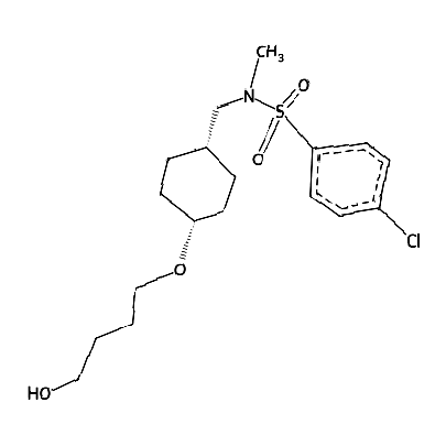 CN(C[C@H]1CC[C@@H](OCCCCO)CC1)S(=O)(=O)c1ccc(Cl)cc1